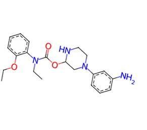 CCOc1ccccc1N(CC)C(=O)OC1CN(c2cccc(N)c2)CCN1